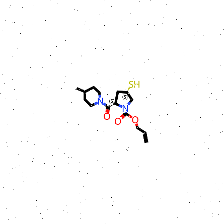 C=CCOC(=O)N1C[C@@H](S)C[C@H]1C(=O)N1CCC(C)CC1